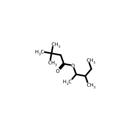 CCC(C)C(C)OC(=O)CC(C)(C)C